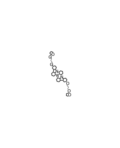 c1coc(OCCCOc2ccc3c(c2)c2cccc4c2n3-c2cccc3c2B4c2cccc4c5cc(OCCCOc6ccco6)ccc5n-3c24)c1